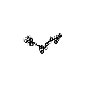 O=C(NC(c1ccccc1)c1cccc(OCc2ccc(C(=O)NC(Cc3ccccc3)C(=O)OCCCCNC[C@H](O)c3ccc(O)c4[nH]c(=O)ccc34)cc2)c1)O[C@H]1CN2CCC1CC2